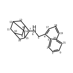 c1ccc2c(CNC3C4CC5CC(C4)CC3C5)cccc2c1